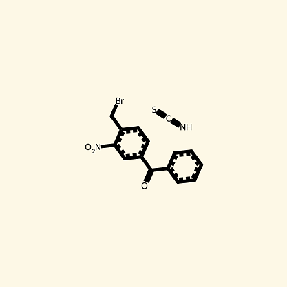 N=C=S.O=C(c1ccccc1)c1ccc(CBr)c([N+](=O)[O-])c1